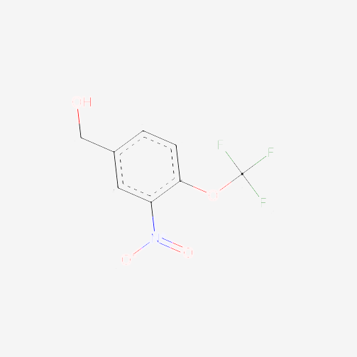 O=[N+]([O-])c1cc(CO)ccc1OC(F)(F)F